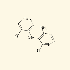 Nc1ccnc(Cl)c1[Se]c1ccccc1Cl